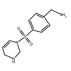 NCc1ccc(S(=O)(=O)N2C=CCNC2)cc1